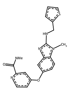 CNC(=O)c1cc(Oc2ccc3c(c2)nc(NCc2cccs2)n3C)ccn1